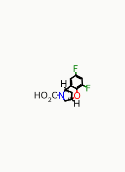 O=C(O)N1C[C@@H]2C[C@H]1c1cc(F)cc(F)c1O2